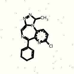 CC1N=NC2=CN=C(C3=CCCC=C3)c3nc(Cl)ccc3N21